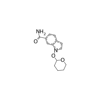 NC(=O)c1ccc2ccn(OC3CCCCO3)c2c1